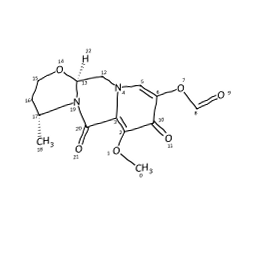 COc1c2n(cc(OC=O)c1=O)C[C@@H]1OCC[C@@H](C)N1C2=O